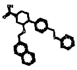 O=C(O)N1CCC(c2ccc(CSc3ncccn3)cc2)C(OCc2ccc3ccccc3c2)C1